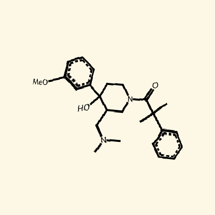 COc1cccc(C2(O)CCN(C(=O)C(C)(C)c3ccccc3)CC2CN(C)C)c1